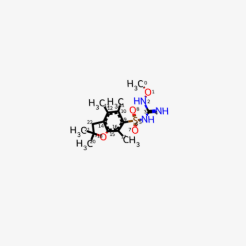 CONC(=N)NS(=O)(=O)c1c(C)c(C)c2c(c1C)OC(C)(C)C2